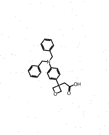 O=C(O)CC1(c2ccc(N(Cc3ccccc3)Cc3ccccc3)cc2)COC1